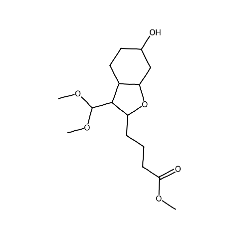 COC(=O)CCCC1OC2CC(O)CCC2C1C(OC)OC